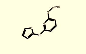 CCCCCOc1nccc(Oc2cccs2)n1